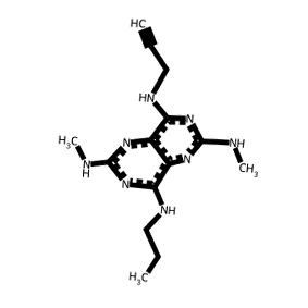 C#CCNc1nc(NC)nc2c(NCCC)nc(NC)nc12